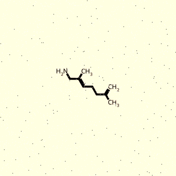 C=C(C)CC/C=C(\C)CN